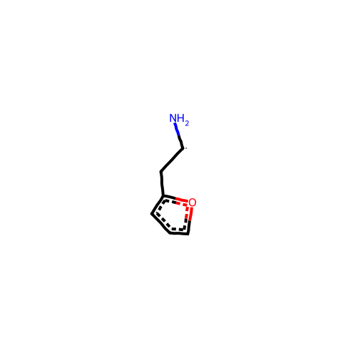 N[CH]Cc1ccco1